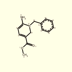 COC(=O)C1=CC=C(N)N(Cc2ccccc2)C1